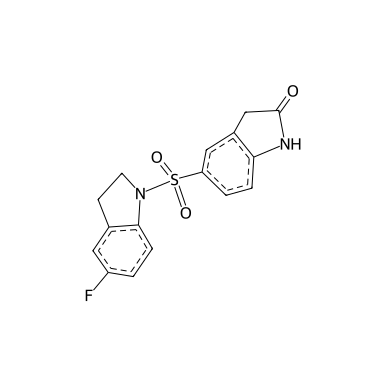 O=C1Cc2cc(S(=O)(=O)N3CCc4cc(F)ccc43)ccc2N1